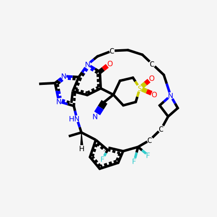 Cc1nc2c3cc(C4(C#N)CCS(=O)(=O)CC4)c(=O)n(c3n1)CCCCCCN1CC(CCC(F)(F)c3cccc(c3F)[C@H](C)N2)C1